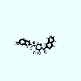 O=CC1CN(S(=O)(=O)c2cc3ccc(Cl)cc3s2)CCN1C(Cl)c1ccc2ccncc2c1